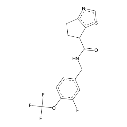 O=C(NCc1ccc(OC(F)(F)F)c(F)c1)C1CCc2ncsc21